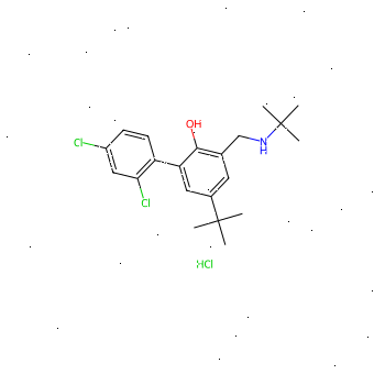 CC(C)(C)NCc1cc(C(C)(C)C)cc(-c2ccc(Cl)cc2Cl)c1O.Cl